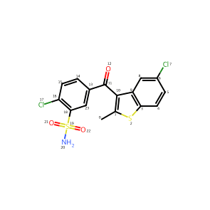 Cc1sc2ccc(Cl)cc2c1C(=O)c1ccc(Cl)c(S(N)(=O)=O)c1